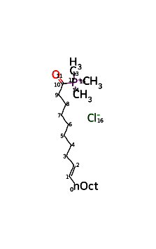 CCCCCCCCC=CCCCCCCCC(=O)[P+](C)(C)C.[Cl-]